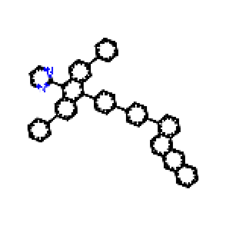 c1ccc(-c2ccc3c(-c4ncccn4)c4cc(-c5ccccc5)ccc4c(-c4ccc(-c5ccc(-c6cccc7c6ccc6cc8ccccc8cc67)cc5)cc4)c3c2)cc1